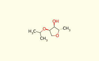 CC(C)O[C@@H]1CO[C@@H](C)[C@@H]1O